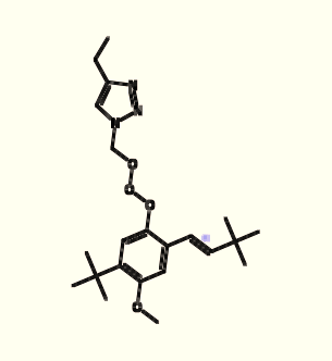 CCc1cn(COOOc2cc(C(C)(C)C)c(OC)cc2/C=C/C(C)(C)C)nn1